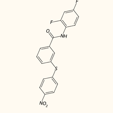 O=C(Nc1ccc(F)cc1F)c1cccc(Sc2ccc([N+](=O)[O-])cc2)c1